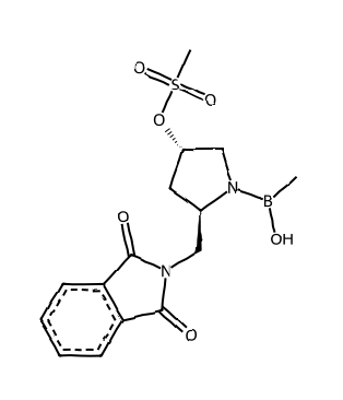 CB(O)N1C[C@@H](OS(C)(=O)=O)C[C@@H]1CN1C(=O)c2ccccc2C1=O